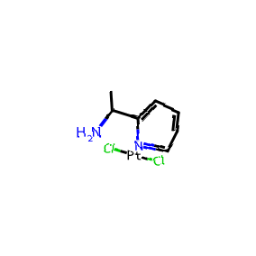 CC(N)c1ccccn1.[Cl][Pt][Cl]